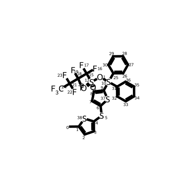 Cc1ccc(Sc2ccc(S(OS(=O)(=O)C(F)(F)C(F)(F)C(F)(F)C(F)(F)F)(c3ccccc3)c3ccccc3)s2)s1